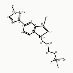 Cn1cnc(-c2ccc3c(c2)c(I)cn3COCC[Si](C)(C)C)n1